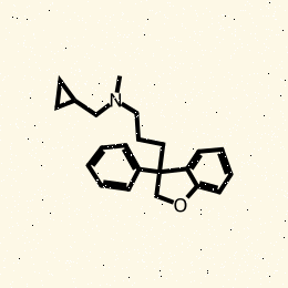 CN(CCCC1(c2ccccc2)COc2ccccc21)CC1CC1